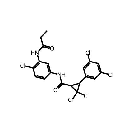 CCC(=O)Nc1cc(NC(=O)C2C(c3cc(Cl)cc(Cl)c3)C2(Cl)Cl)ccc1Cl